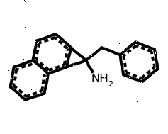 NC1(Cc2ccccc2)c2ccc3ccccc3c21